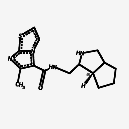 Cc1nc2sccn2c1C(=O)NCC1NCC2CCC[C@@H]21